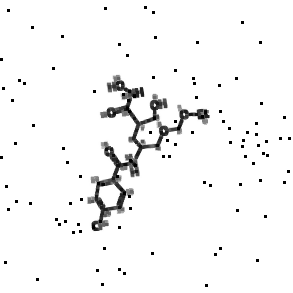 CCOCOCC(CC(CO)C(=O)NO)NC(=O)c1ccc(Cl)cc1